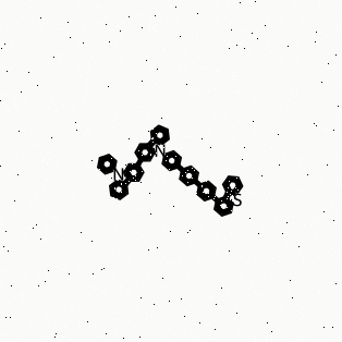 c1ccc(-n2c3ccccc3c3ccc(-c4ccc5c6ccccc6n(-c6ccc(-c7ccc(-c8ccc(-c9cccc%10sc%11ccccc%11c9%10)cc8)cc7)cc6)c5c4)cc32)cc1